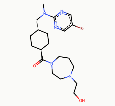 CN(C[C@H]1CC[C@H](C(=O)N2CCCN(CCO)CC2)CC1)c1ncc(Br)cn1